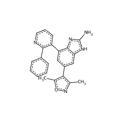 Cc1noc(C)c1-c1cc(-c2cccnc2-c2ccccc2)c2nc(N)[nH]c2c1